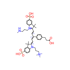 CNCCC[N+]1=C(/C=C/C(=C/C=C2/N(CCC[N+](C)(C)C)c3ccc(S(=O)(=O)O)cc3C2(C)C)c2ccc(CCC(=O)O)cc2)C(C)(C)c2cc(S(=O)(=O)O)ccc21